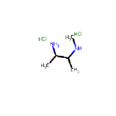 CNC(C)C(C)N.Cl.Cl